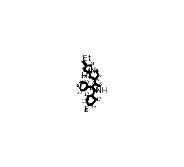 CC/C=C1/C[C@H]2C=C(c3c[nH]c(-c4ccc(F)cc4)c3-c3ccncc3)CCN2C1